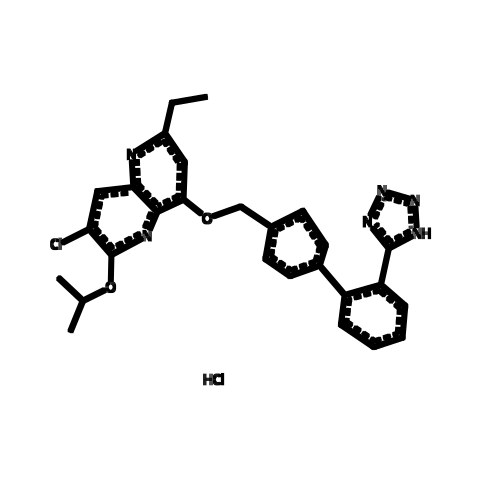 CCc1cc(OCc2ccc(-c3ccccc3-c3nnn[nH]3)cc2)c2nc(OC(C)C)c(Cl)cc2n1.Cl